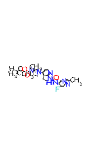 Cc1cn2cc(NC(=O)N3CCc4c(N5CC[C@@H](N(C)C(=O)OC(C)(C)C)C5)ccnc43)c(F)cc2n1